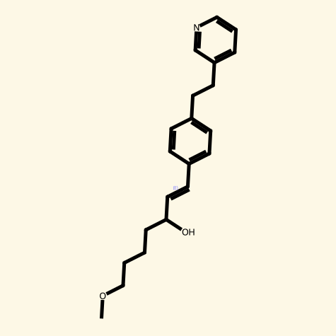 COCCCCC(O)/C=C/c1ccc(CCc2cccnc2)cc1